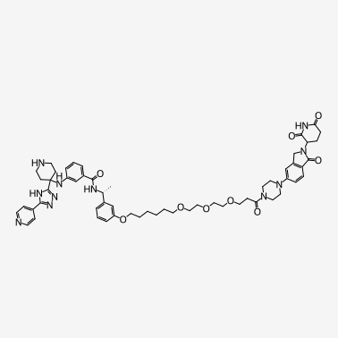 C[C@@H](NC(=O)c1cccc(NC2(c3nnc(-c4ccncc4)[nH]3)CCNCC2)c1)c1cccc(OCCCCCCOCCOCCOCCC(=O)N2CCN(c3ccc4c(c3)CN(C3CCC(=O)NC3=O)C4=O)CC2)c1